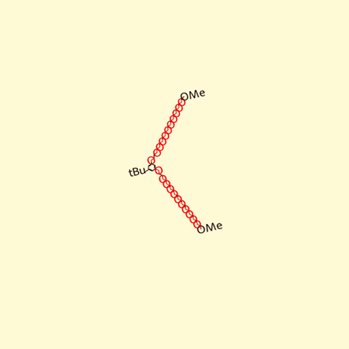 COCOCOCOCOCOCOCOCOCOCOCCOc1cc(CC(C)(C)C)cc(OCCOCOCOCOCOCOCOCOCOCOCOC)c1